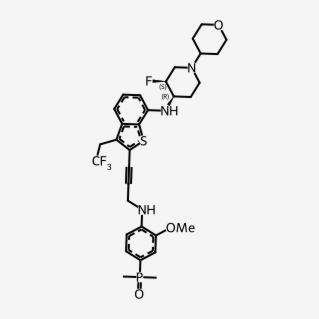 COc1cc(P(C)(C)=O)ccc1NCC#Cc1sc2c(N[C@@H]3CCN(C4CCOCC4)C[C@@H]3F)cccc2c1CC(F)(F)F